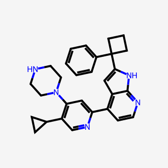 c1ccc(C2(c3cc4c(-c5cc(N6CCNCC6)c(C6CC6)cn5)ccnc4[nH]3)CCC2)cc1